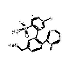 CCc1ccc(S(N)(=O)=O)c(-c2cc(CNC)ccc2-c2ccccc2F)c1